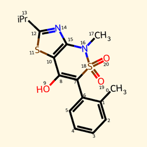 Cc1ccccc1C1=C(O)c2sc(C(C)C)nc2N(C)S1(=O)=O